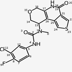 CN(C(=O)Nc1ccc(F)c(Cl)c1)C1COCc2[nH]c(=O)c3cscc3c21